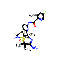 Cc1cc(F)cnc1C(=O)Nc1ccc(F)c([C@@]2(C)N=C(N)C(C)(C)[SH]3(=O)NCC[C@@H]23)n1